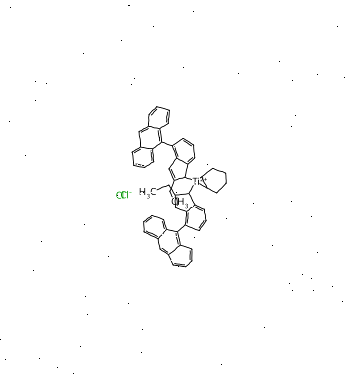 CCC1=Cc2c(-c3c4ccccc4cc4ccccc34)cccc2[CH]1[Ti+2]1([CH]2C(CC)=Cc3c(-c4c5ccccc5cc5ccccc45)cccc32)[CH]2CCCC[CH]21.[Cl-].[Cl-]